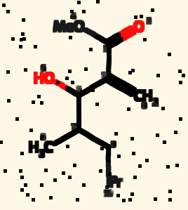 C=C(C(=O)OC)C(O)C(C)CC(C)C